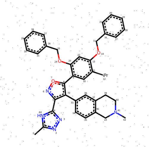 Cc1nnc(-c2noc(-c3cc(C(C)C)c(OCc4ccccc4)cc3OCc3ccccc3)c2-c2ccc3c(c2)CCN(C)C3)[nH]1